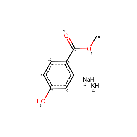 COC(=O)c1ccc(O)cc1.[KH].[NaH]